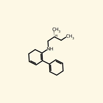 CC[C@@H](C)CNC1=C(C2=CCCC=C2)C=CCC1